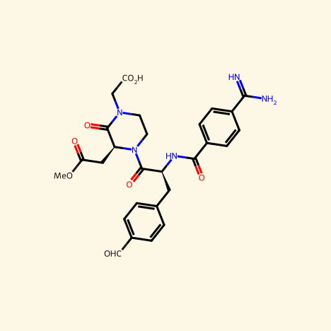 COC(=O)C[C@H]1C(=O)N(CC(=O)O)CCN1C(=O)[C@H](Cc1ccc(C=O)cc1)NC(=O)c1ccc(C(=N)N)cc1